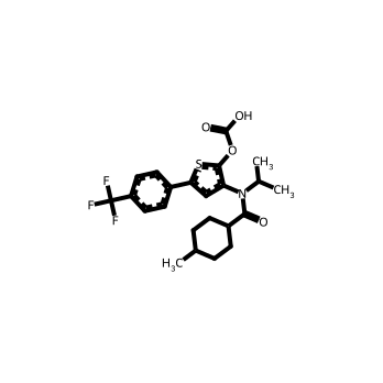 CC1CCC(C(=O)N(c2cc(-c3ccc(C(F)(F)F)cc3)sc2OC(=O)O)C(C)C)CC1